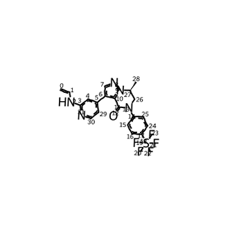 C=CNc1cc(-c2cnn3c2C(=O)N(c2ccc(S(F)(F)(F)(F)F)cc2)C[C@@H]3C)ccn1